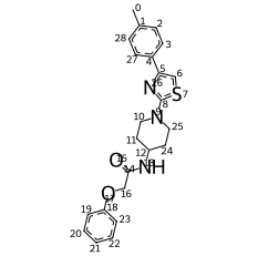 Cc1ccc(-c2csc(N3CCC(NC(=O)COc4ccccc4)CC3)n2)cc1